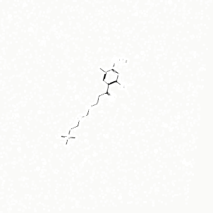 COc1cc(Br)c(C(=O)CCOCOCC[Si](C)(C)C)cc1C